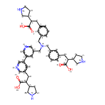 O=C(O)C(Cc1cccc(CN(Cc2cccc(CC(C(=O)O)C3CCNC3)c2)Cc2cncc(-c3cncc(CC(C(=O)O)C4CCNC4)c3)c2)c1)C1CCNC1